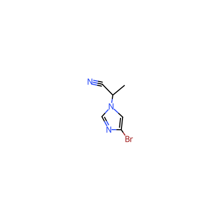 CC(C#N)n1cnc(Br)c1